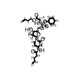 C=CCCOC(=O)[C@H](C)NP(=O)(OC[C@H]1O[C@@H](n2ccc(NC(=O)CCC=C)nc2=O)[C@@](C)(F)C1O)Oc1ccccc1